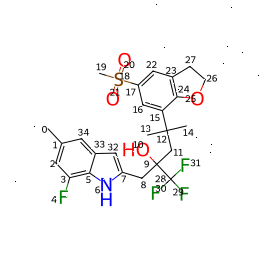 Cc1cc(F)c2[nH]c(CC(O)(CC(C)(C)c3cc(S(C)(=O)=O)cc4c3OCC4)C(F)(F)F)cc2c1